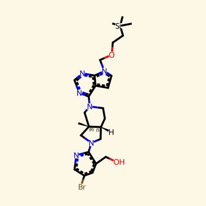 C[C@]12CN(c3ncc(Br)cc3CO)C[C@H]1CCN(c1ncnc3c1ccn3COCC[Si](C)(C)C)C2